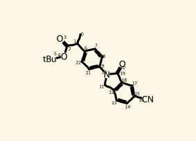 CC(C(=O)OC(C)(C)C)c1ccc(N2Cc3ccc(C#N)cc3C2=O)cc1